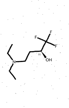 CCN(CC)CC[C@H](O)C(F)(F)F